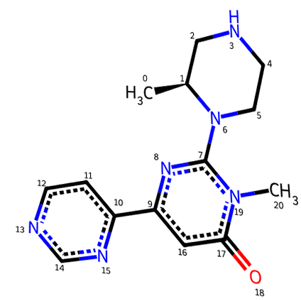 C[C@H]1CNCCN1c1nc(-c2ccncn2)cc(=O)n1C